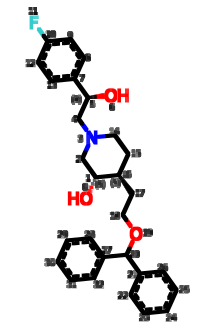 O[C@@H]1CN(C[C@H](O)c2ccc(F)cc2)CC[C@H]1CCOC(c1ccccc1)c1ccccc1